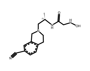 C[C@@H](CN1CCc2ccc(C#N)cc2C1)NC(=O)CNO